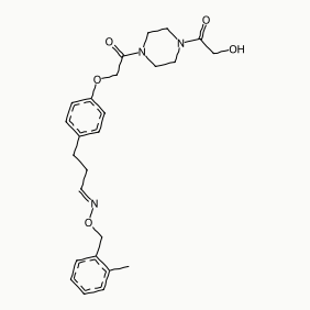 Cc1ccccc1CON=CCCc1ccc(OCC(=O)N2CCN(C(=O)CO)CC2)cc1